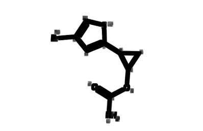 NC(=O)OC1CC1c1cc(Br)cs1